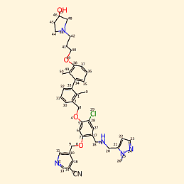 Cc1c(COc2cc(OCc3cncc(C#N)c3)c(CNCc3ccnn3C)cc2Cl)cccc1-c1cccc(OCCCN2CCC(O)C2)c1C